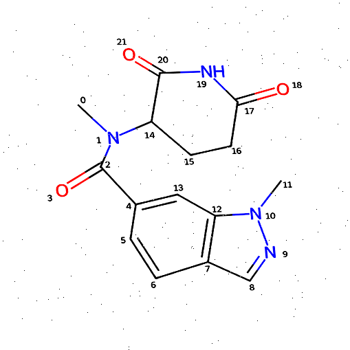 CN(C(=O)c1ccc2cnn(C)c2c1)C1CCC(=O)NC1=O